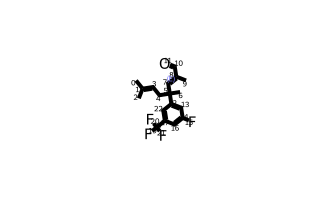 CC(C)=CCC(C)(/C=C(\C)C=O)c1cc(F)cc(C(F)(F)F)c1